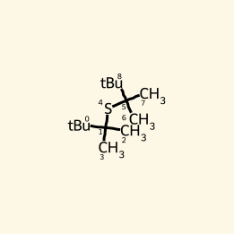 CC(C)(C)C(C)(C)SC(C)(C)C(C)(C)C